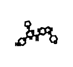 c1c(N2CCCC2)nc(Nc2cc3c(cn2)cnn3C2CCOCC2)nc1N1CCNCC1